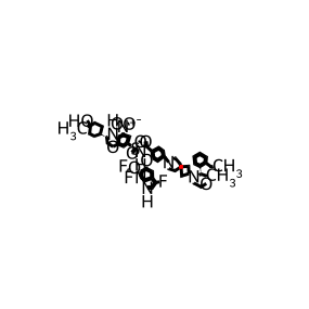 CC(C)c1ccccc1[C@@H]1COCCN1C1CC2(CCN(c3ccc(C(=O)NS(=O)(=O)c4cc5c(c([N+](=O)[O-])c4)N[C@@H](C4CCC(C)(O)CC4)CO5)c(Oc4cc5c(F)c[nH]c5nc4OC(F)F)c3)CC2)C1